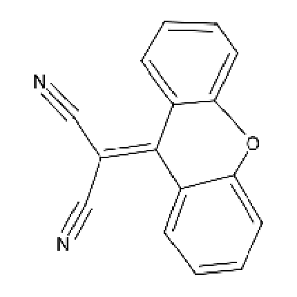 N#CC(C#N)=C1c2ccccc2Oc2ccccc21